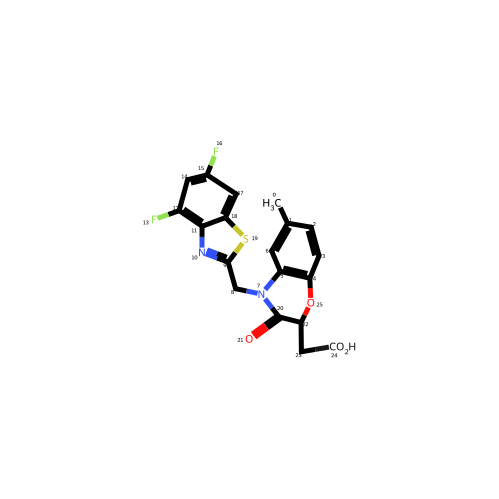 Cc1ccc2c(c1)N(Cc1nc3c(F)cc(F)cc3s1)C(=O)C(CC(=O)O)O2